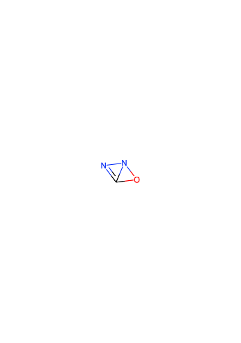 n1c2on1-2